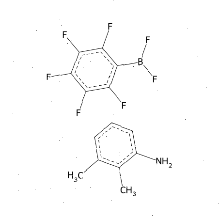 Cc1cccc(N)c1C.FB(F)c1c(F)c(F)c(F)c(F)c1F